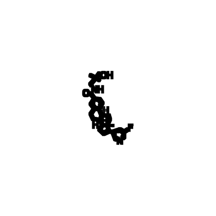 CC(C)(CO)CNC(=O)c1ccc2c(c1)CC[C@@H]1[C@@H]2CC[C@]2(C)C(c3cncc(F)c3)=CC[C@@H]12